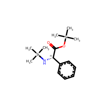 C[Si](C)(C)N[C@H](C(=O)O[Si](C)(C)C)c1ccccc1